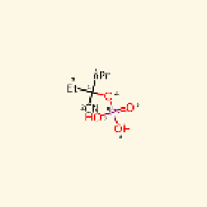 CCCC(C#N)(CC)OP(=O)(O)O